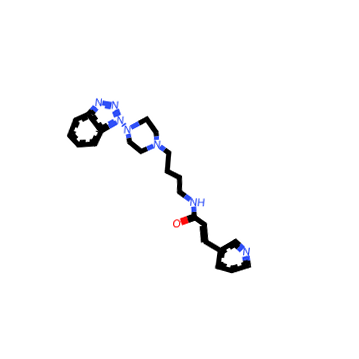 O=C(C=Cc1cccnc1)NCCCCN1CCN(n2nnc3ccccc32)CC1